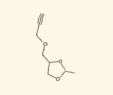 C#CCOCC1COC(C)O1